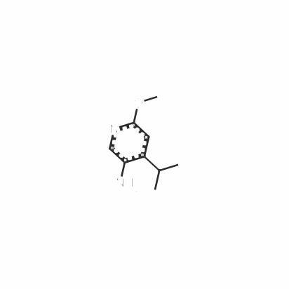 COc1cc(C(C)C)c(N)cn1